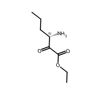 CCC[C@H](N)C(=O)C(=O)OCC